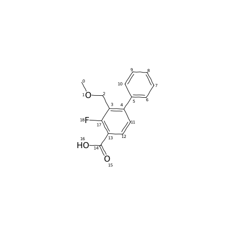 COCc1c(-c2ccccc2)ccc(C(=O)O)c1F